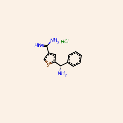 Cl.N=C(N)c1csc([C@@H](N)c2ccccc2)c1